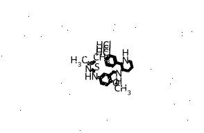 COc1ccc(Nc2nc(C)c(C)s2)cc1CNC1CCCNC1c1ccccc1.Cl.Cl.Cl